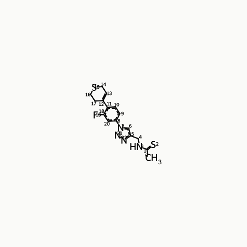 CC(=S)NCc1cn(-c2ccc(C3=CCSCC3)c(F)c2)nn1